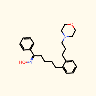 ON=C(CCCCc1ccccc1CCCN1CCOCC1)c1ccccc1